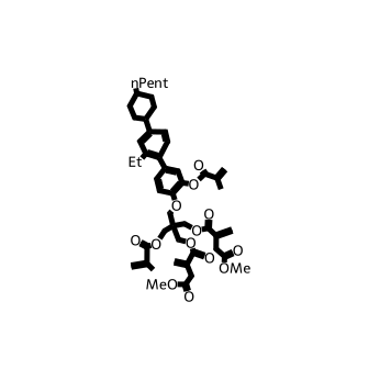 C=C(C)C(=O)OCC(COC(=O)C(=C)CC(=O)OC)(COC(=O)C(=C)CC(=O)OC)COc1ccc(-c2ccc(C3CCC(CCCCC)CC3)cc2CC)cc1OC(=O)C(=C)C